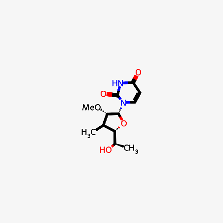 CO[C@H]1C(C)[C@@H]([C@@H](C)O)O[C@H]1n1ccc(=O)[nH]c1=O